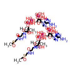 C=CC(=O)SCCNC(=O)CCNC(=O)[C@H](O)C(C)(C)COP(=O)(O)OP(=O)(O)OC[C@H]1O[C@@H](n2cnc3c(N)ncnc32)[C@H](O)[C@@H]1OP(=O)(O)O.CC(=O)SCCNC(=O)CCNC(=O)[C@H](O)C(C)(C)COP(=O)(O)OP(=O)(O)OC[C@H]1O[C@@H](n2cnc3c(N)ncnc32)[C@H](O)[C@@H]1OP(=O)(O)O